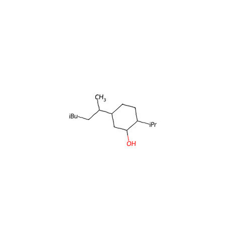 CCC(C)CC(C)C1CCC(C(C)C)C(O)C1